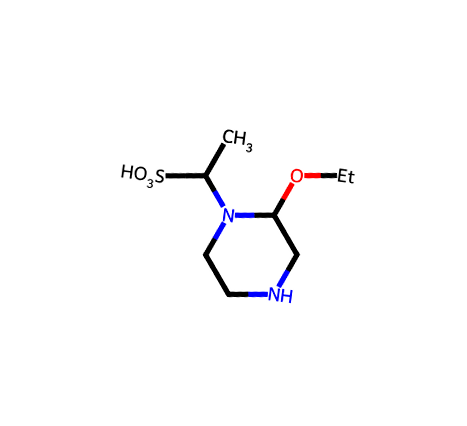 CCOC1CNCCN1C(C)S(=O)(=O)O